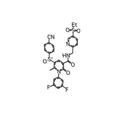 CCS(=O)(=O)c1ccc(CNC(=O)c2cc([S+]([O-])c3ccc(C#N)cc3)c(C)n(-c3cc(F)cc(F)c3)c2=O)nc1